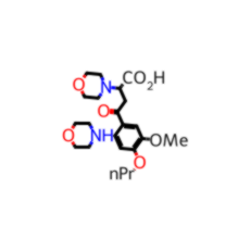 C1COCCN1.CCCOc1ccc(C(=O)CC(C(=O)O)N2CCOCC2)cc1OC